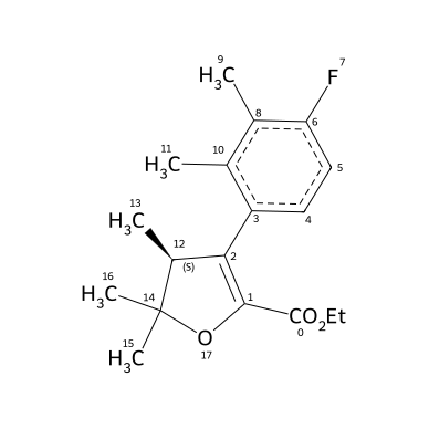 CCOC(=O)C1=C(c2ccc(F)c(C)c2C)[C@H](C)C(C)(C)O1